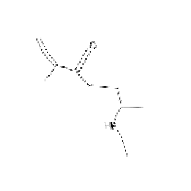 C=C(C)C(=O)CCC(C)PC